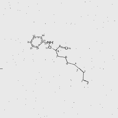 CCCCCCCCC(C=O)ONc1ccccc1